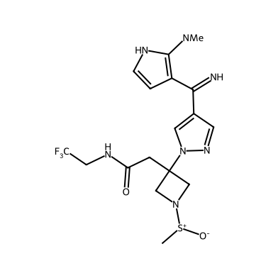 CNc1[nH]ccc1C(=N)c1cnn(C2(CC(=O)NCC(F)(F)F)CN([S+](C)[O-])C2)c1